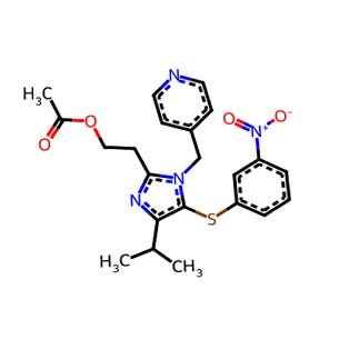 CC(=O)OCCc1nc(C(C)C)c(Sc2cccc([N+](=O)[O-])c2)n1Cc1ccncc1